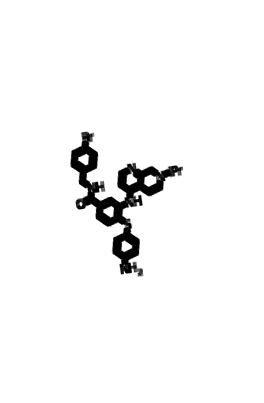 CC(C)N1C=Cc2c(Nc3cc(C(=O)NCc4ccc(Br)cc4)ccc3Sc3ccc(N)cc3)ccnc2C1